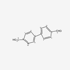 O=Cc1ccc(-c2ccc(C(=O)O)nc2)cc1